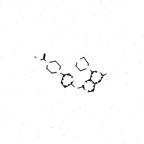 CC(C)(C)OC(=O)N1CCN(c2ccc(Nc3ncc4cc(C=O)nc(N5CCOCC5)c4n3)nc2)CC1